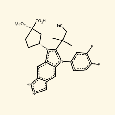 CO[C@@]1(C(=O)O)CC[C@@H](c2c(C(C)(C)CC#N)n(-c3ccc(F)c(F)c3)c3cc4cn[nH]c4cc23)C1